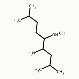 CC(C)CCC(O)C(N)CC(C)C.Cl